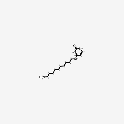 NCCCCCCCCCCNC1=NC(=O)[N]C=C1